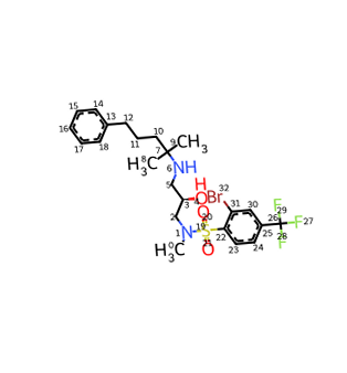 CN(C[C@H](O)CNC(C)(C)CCCc1ccccc1)S(=O)(=O)c1ccc(C(F)(F)F)cc1Br